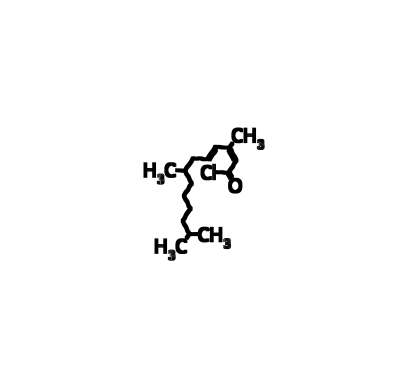 CC(C=CCC(C)CCCCC(C)C)=CC(=O)Cl